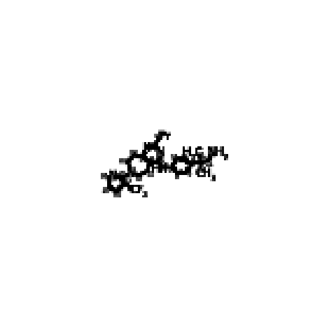 CC(C)c1nc2c(c(Nc3ccc(C(C)(C)CN)cc3)n1)CCN(c1ncccc1C(F)(F)F)CC2